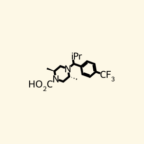 CC(C)C(c1ccc(C(F)(F)F)cc1)N1C[C@H](C)N(C(=O)O)C[C@H]1C